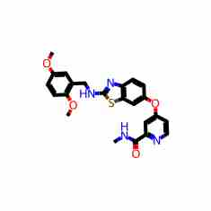 CNC(=O)c1cc(Oc2ccc3nc(NCc4cc(OC)ccc4OC)sc3c2)ccn1